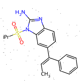 CC=C(c1ccccc1)c1ccc2nc(N)n(S(=O)(=O)C(C)C)c2c1